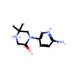 CC1(C)CN(c2ccc(N)nc2)C(=O)CN1